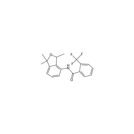 CC1OC(C)(C)c2cccc(NC(=O)c3ccccc3C(F)(F)F)c21